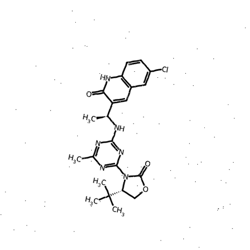 Cc1nc(N[C@@H](C)c2cc3cc(Cl)ccc3[nH]c2=O)nc(N2C(=O)OC[C@@H]2C(C)(C)C)n1